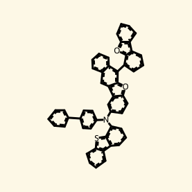 c1ccc(-c2ccc(N(c3ccc4oc5c(-c6cccc7c6oc6ccccc67)c6ccccc6cc5c4c3)c3cccc4c3sc3ccccc34)cc2)cc1